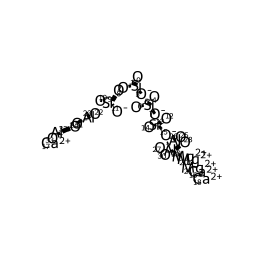 O=[Si]([O-])[O-].O=[Si]([O-])[O-].O=[Si]([O-])[O-].O=[Si]([O-])[O-].[Ca+2].[Ca+2].[Ca+2].[Mg+2].[Mg+2].[Mg+2].[O]=[Al][O-].[O]=[Al][O-].[O]=[Al][O-].[O]=[Al][O-]